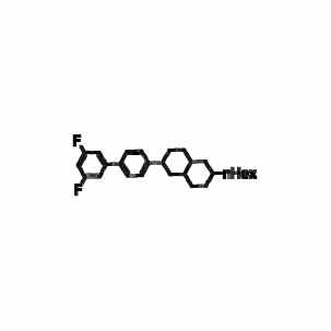 CCCCCCC1CCC2CC(c3ccc(-c4cc(F)cc(F)c4)cc3)CCC2C1